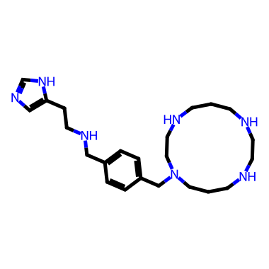 c1ncc(CCNCc2ccc(CN3CCCNCCNCCCNCC3)cc2)[nH]1